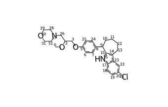 COC(COc1ccc(C2CCCCc3c2[nH]c2ccc(Cl)cc32)cc1)CN1CCOCC1